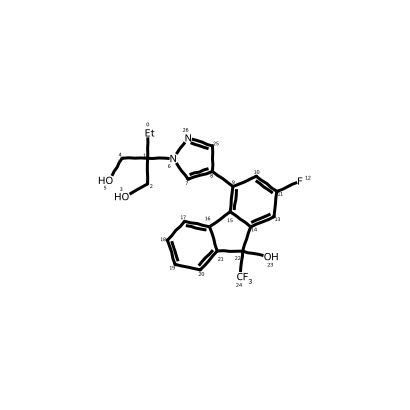 CCC(CO)(CO)n1cc(-c2cc(F)cc3c2-c2ccccc2C3(O)C(F)(F)F)cn1